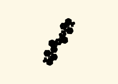 C=C(/C=c1\c(=C)n2c3c(c4cccc1c42)C=C1C(C3)c2cccc3c4cc(N(c5ccccc5)c5cccc6c5oc5c(C(C)C)cccc56)ccc4n1c23)N(c1ccccc1)c1cccc2c1oc1c(C(C)C)cccc12